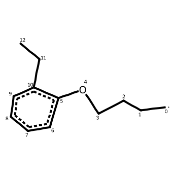 [CH2]CCCOc1ccccc1CC